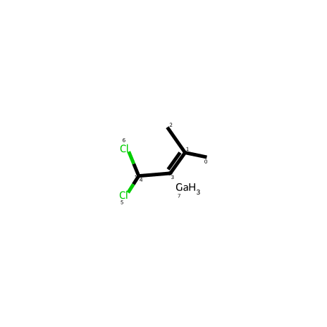 CC(C)=C[C](Cl)Cl.[GaH3]